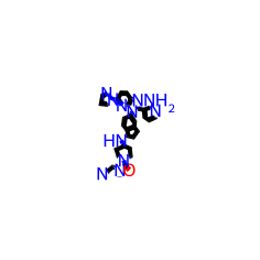 CN(CC#N)C(=O)N1CCC(N[C@H]2CCc3cc(-n4c(-c5cccnc5N)nc5ccc(-n6cccn6)nc54)ccc32)CC1